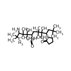 CC(C)(C)CC(N1CCCC1=O)C(C)(C)C(C)(C)CC(NC=O)C(C)(C)C(C)(C)C(N)C(C)(C)C